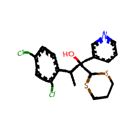 CC(c1ccc(Cl)cc1Cl)C(O)(c1cccnc1)C1SCCCS1